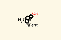 CCCCC[C@H]1CC[C@@]2(C)CCc3cc(O)ccc3[C@H]2C1